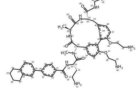 C[C@@H]1NC(=O)[C@@H](N(C)C(=O)[C@H](CCN)NC(=O)c2ccc(-c3ccc4c(c3)CCCC4)cc2)c2ccc(OCCN)c(c2)-c2cc(ccc2OCCN)C[C@@H](C(=O)NCC#N)NC1=O